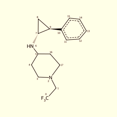 FC(F)(F)CN1CCC(N[C@@H]2C[C@H]2c2ccccc2)CC1